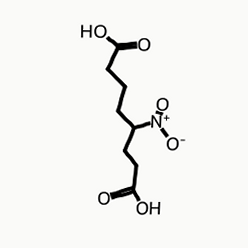 O=C(O)CCCC(CCC(=O)O)[N+](=O)[O-]